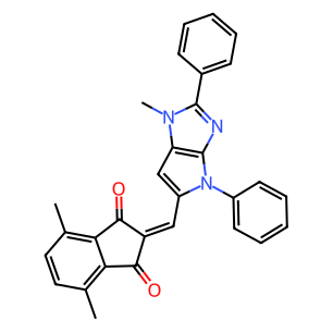 Cc1ccc(C)c2c1C(=O)C(=Cc1cc3c(nc(-c4ccccc4)n3C)n1-c1ccccc1)C2=O